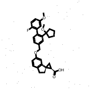 COc1ccc(F)c(-c2ccc(COc3ccc4c(c3)[C@]3(CC4)C[C@H]3C(=O)O)cc2C2(OC)CCCC2)c1